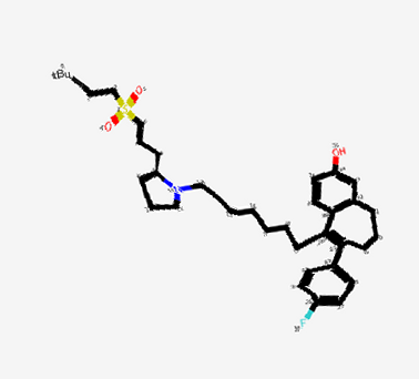 CC(C)(C)CCS(=O)(=O)CCC[C@@H]1CCCN1CCCCCCC1=C(c2ccc(F)cc2)CCCc2cc(O)ccc21